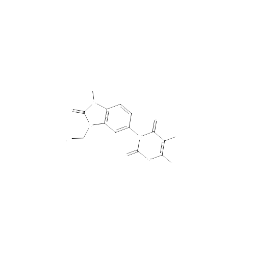 CCc1[nH]c(=O)n(-c2ccc3c(c2)n(CC(F)(F)F)c(=O)n3C)c(=O)c1C(=O)O